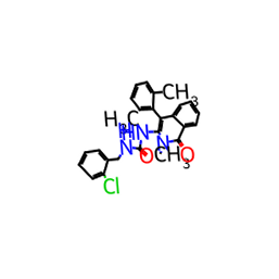 Cc1cccc(C)c1-c1c(NC(=O)NCc2ccccc2Cl)n(C)c(=O)c2ccccc12